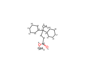 CC(CCC(=O)O[SiH3])(C1CCCCC1)C1CCCCC1